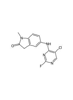 CN1C(=O)Cc2cc(Nc3nc(F)ncc3Cl)ccc21